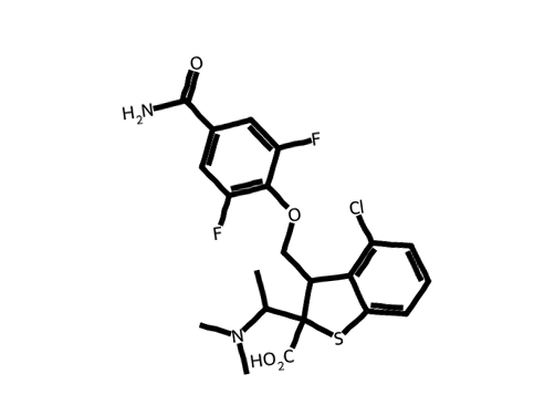 CC(N(C)C)C1(C(=O)O)Sc2cccc(Cl)c2C1COc1c(F)cc(C(N)=O)cc1F